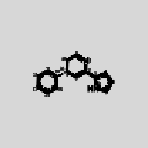 C1=NC(c2ccc[nH]2)=C[C@H](c2ccccc2)C1